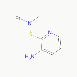 CCN(C)Sc1ncccc1N